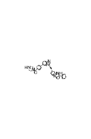 O=C(Nc1cc(C#Cc2cnc3ccc(-c4ccc(C(=O)N5CCNCC5)cc4)cn23)ccn1)c1ccccc1